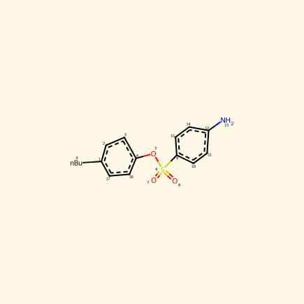 CCCCc1ccc(OS(=O)(=O)c2ccc(N)cc2)cc1